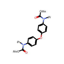 COC(=O)N(c1ccc(Oc2ccc(N(C(=O)OC)C(C)C)cc2)cc1)C(C)C